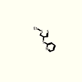 CCSCC([C]=S)Sc1ccccn1